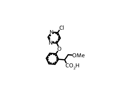 COCC(C(=O)O)c1ccccc1Oc1cc(Cl)ncn1